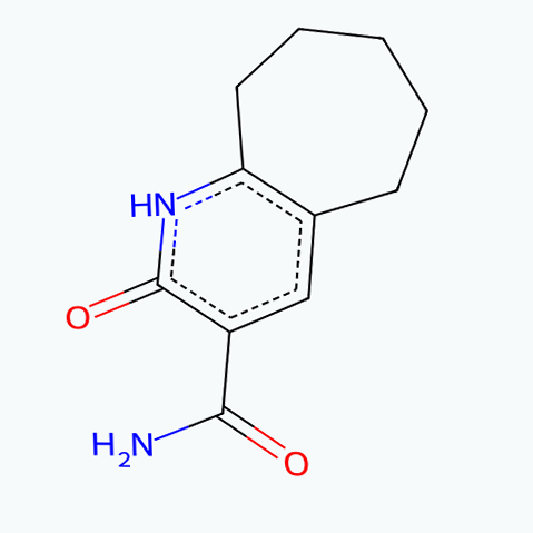 NC(=O)c1cc2c([nH]c1=O)CCCCC2